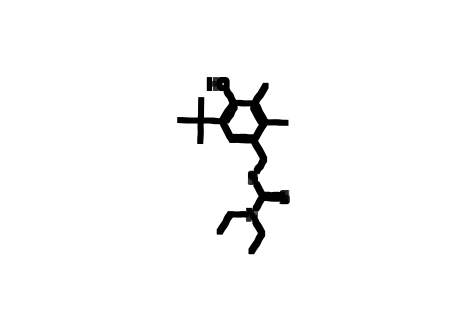 CCN(CC)C(=S)SCc1cc(C(C)(C)C)c(O)c(C)c1C